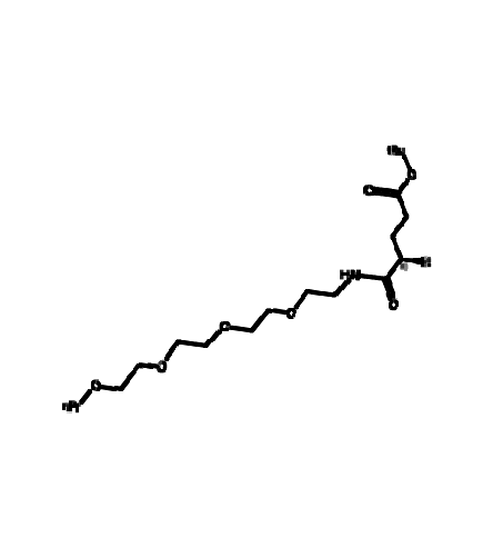 CCCOCCOCCOCCOCCNC(=O)[C@H](CC)CCC(=O)OC(C)(C)C